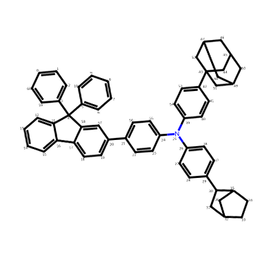 c1ccc(C2(c3ccccc3)c3ccccc3-c3ccc(-c4ccc(N(c5ccc(C6CC7CCC6C7)cc5)c5ccc(C67CC8CC(CC(C8)C6)C7)cc5)cc4)cc32)cc1